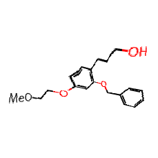 COCCOc1ccc(CCCO)c(OCc2ccccc2)c1